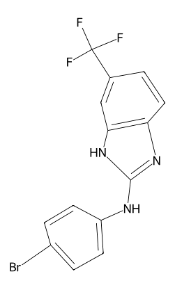 FC(F)(F)c1ccc2nc(Nc3ccc(Br)cc3)[nH]c2c1